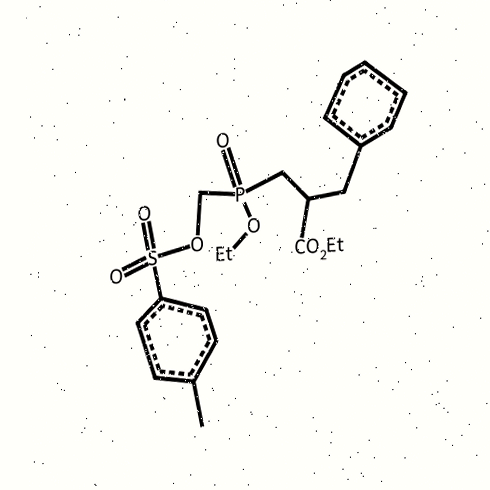 CCOC(=O)C(Cc1ccccc1)CP(=O)(COS(=O)(=O)c1ccc(C)cc1)OCC